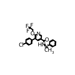 CN(NC(=O)c1cnc(OCC(F)(F)F)c(-c2ccc(Cl)cc2)c1)c1ccccc1